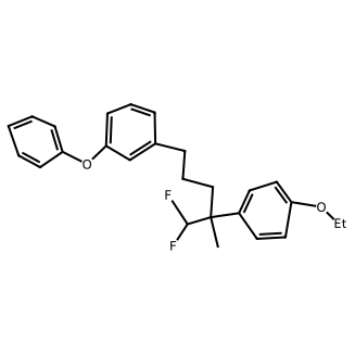 CCOc1ccc(C(C)(CCCc2cccc(Oc3ccccc3)c2)C(F)F)cc1